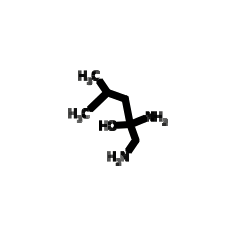 CC(C)CC(N)(O)CN